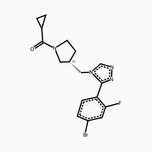 O=C(C1CC1)N1CC[C@H](Cn2cnnc2-c2ccc(Br)cc2F)C1